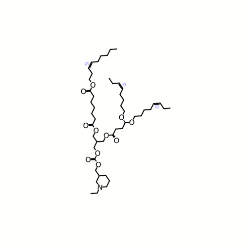 CC/C=C\CCCCOC(CCC(=O)OCC(COC(=O)CCCCCC(=O)OCC/C=C\CCCCC)COC(=O)OCC1CCCN(CC)C1)OCCCC/C=C\CC